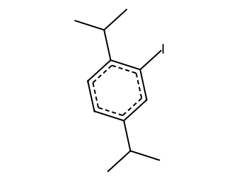 CC(C)c1ccc(C(C)C)c(I)c1